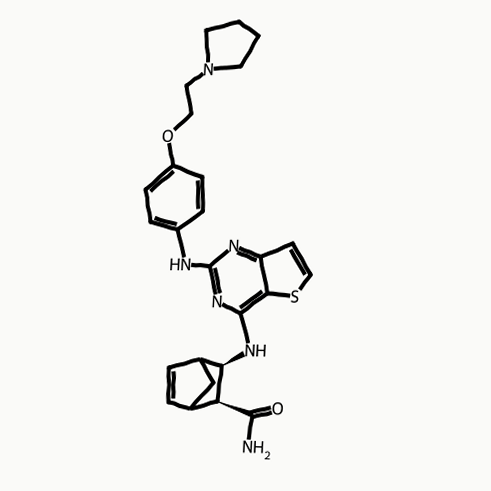 NC(=O)[C@H]1C2C=CC(C2)[C@H]1Nc1nc(Nc2ccc(OCCN3CCCC3)cc2)nc2ccsc12